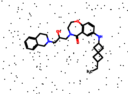 CCC1CC2(C1)CC(Nc1ccc3c(c1)C(=O)N(CC(O)CN1CCc4ccccc4C1)CCO3)C2